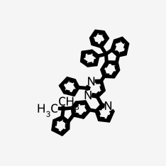 CC1(C)c2ccccc2-c2cc(-c3cccnc3-c3cc(-c4ccc5c(c4)C(c4ccccc4)(c4ccccc4)c4ccccc4-5)nc(-c4ccccc4)n3)ccc21